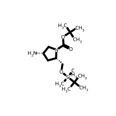 CC(C)(C)OC(=O)N1C[C@@H](N)C[C@H]1CO[Si](C)(C)C(C)(C)C